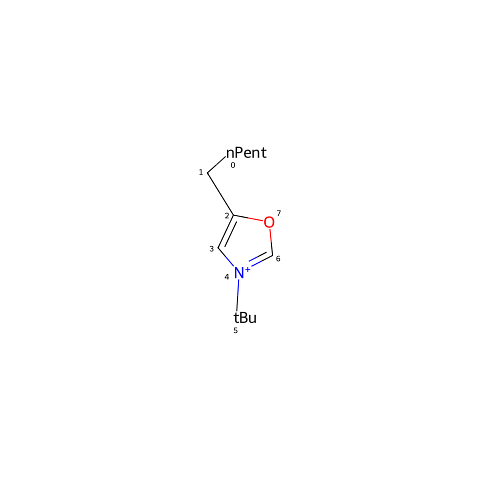 CCCCCCc1c[n+](C(C)(C)C)co1